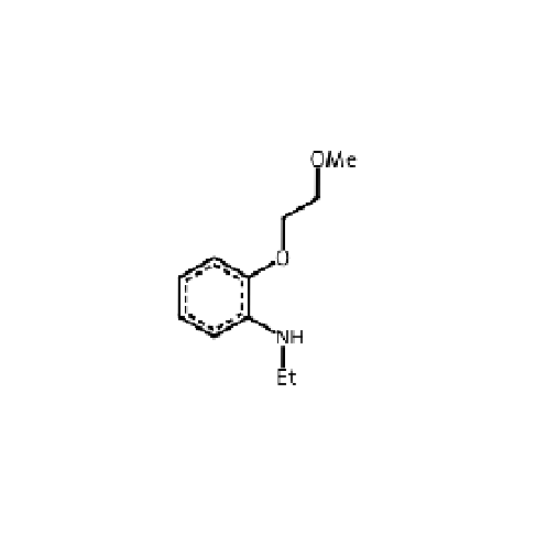 CCNc1ccccc1OCCOC